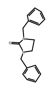 O=C1N(Cc2ccccc2)CCN1Cc1ccccc1